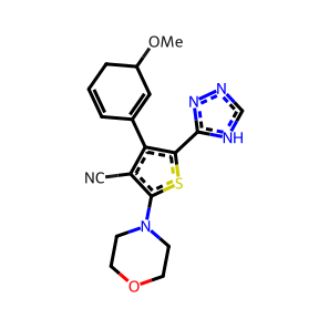 COC1C=C(c2c(-c3nnc[nH]3)sc(N3CCOCC3)c2C#N)C=CC1